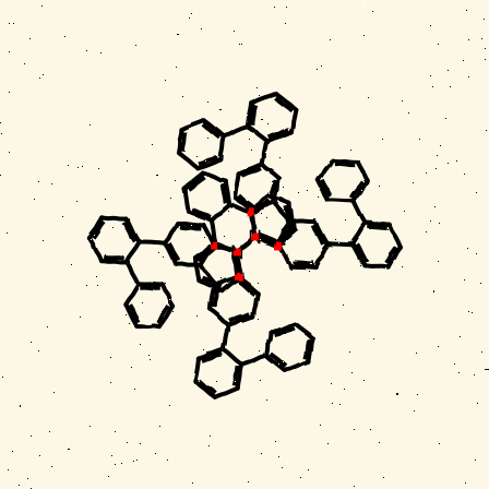 c1ccc(-c2ccccc2-c2ccc3c(c2)c2cc(-c4ccccc4-c4ccccc4)ccc2n3-c2ccccc2-c2ccccc2-c2ccccc2-n2c3ccc(-c4ccccc4-c4ccccc4)cc3c3cc(-c4ccccc4-c4ccccc4)ccc32)cc1